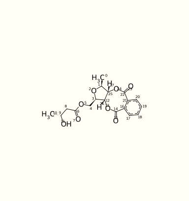 C[C@@H]1O[C@H](COC(=O)C[C@@H](C)O)[C@H]2OC(=O)c3ccccc3C(=O)O[C@H]21